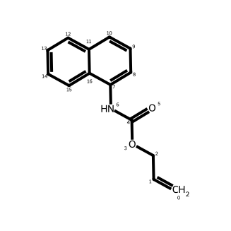 C=CCOC(=O)Nc1cccc2ccccc12